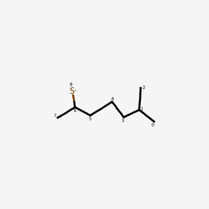 CC(C)CCCC(C)[S]